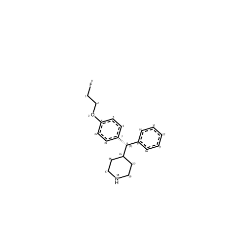 FCCOc1ccc([C@H](c2ccccc2)C2CCNCC2)cc1